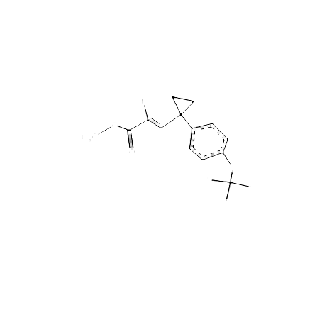 COC(=O)C(F)=CC1(c2ccc(OC(F)(F)F)cc2)CC1